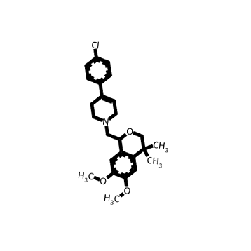 COc1cc2c(cc1OC)C(C)(C)COC2CN1CC=C(c2ccc(Cl)cc2)CC1